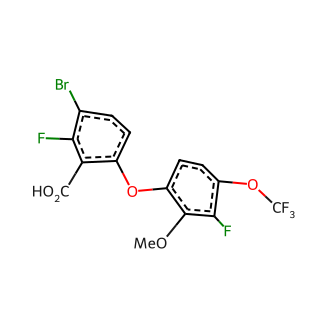 COc1c(Oc2ccc(Br)c(F)c2C(=O)O)ccc(OC(F)(F)F)c1F